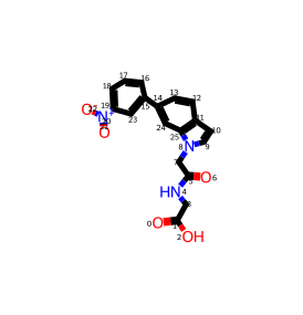 O=C(O)CNC(=O)Cn1ccc2ccc(-c3cccc([N+](=O)[O-])c3)cc21